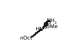 CCCCCCCC/C=C/CCCCCCCCNCCOc1ccc(CC(N)=O)cc1OC